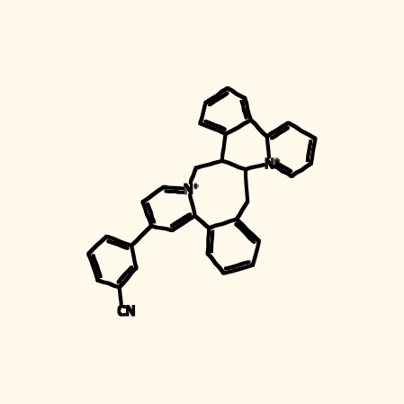 N#Cc1cccc(-c2cc[n+]3c(c2)-c2ccccc2CC2C(C3)c3ccccc3-c3cccc[n+]32)c1